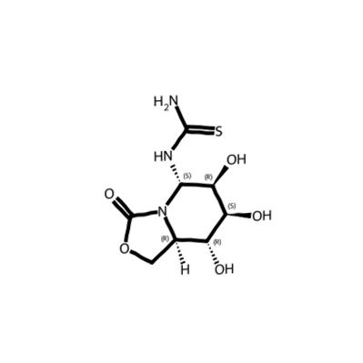 NC(=S)N[C@@H]1[C@@H](O)[C@@H](O)[C@H](O)[C@H]2COC(=O)N21